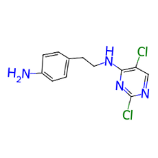 Nc1ccc(CCNc2nc(Cl)ncc2Cl)cc1